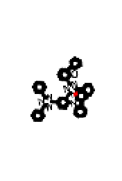 c1ccc(-c2nc(-c3ccccc3)nc(-c3ccc(-n4c5ccccc5c5ccccc54)c(-c4nc(-c5ccccc5)nc(-c5cccc6c5oc5ccccc56)n4)c3)n2)cc1